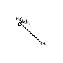 CCCCCCCCCCCCCCCCCCc1ccccc1C(N)(CC)CC